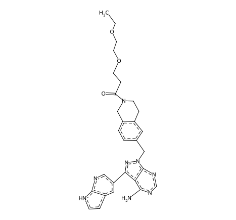 CCOCCOCCC(=O)N1CCc2cc(Cn3nc(-c4cnc5[nH]ccc5c4)c4c(N)ncnc43)ccc2C1